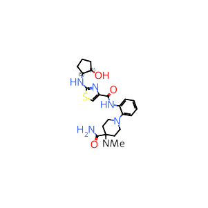 CNC1(C(N)=O)CCN(c2ccccc2NC(=O)c2csc(N[C@H]3CCC[C@H]3O)n2)CC1